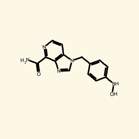 NC(=O)c1nccc2c1ncn2Cc1ccc(BO)cc1